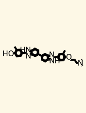 Cc1cc(-c2nc3cc(-c4ccc5[nH]c(-c6ccc(OCCCN(C)C)c(C)c6)nc5c4)ccc3[nH]2)ccc1O